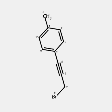 Cc1ccc(C#CCBr)cc1